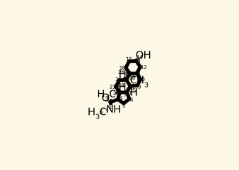 CNC(=O)C1CC[C@H]2[C@@H]3CCC4CC(O)CC[C@]4(C)[C@H]3CC[C@]12C